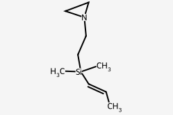 CC=C[Si](C)(C)CCN1CC1